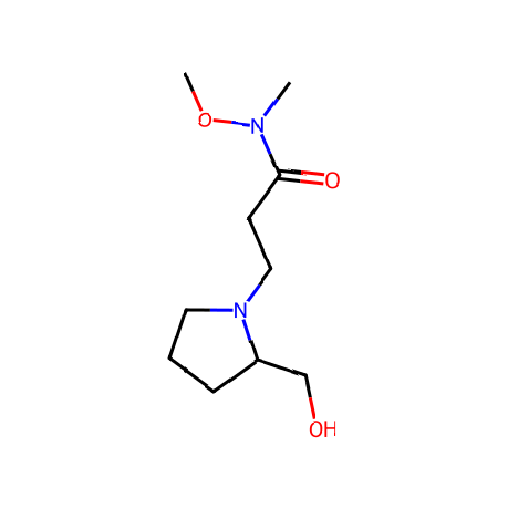 CON(C)C(=O)CCN1CCCC1CO